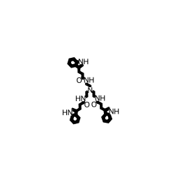 O=C(CCc1c[nH]c2ccccc12)NCCN(CCNC(=O)CCc1c[nH]c2ccccc12)CCNC(=O)CCc1c[nH]c2ccccc12